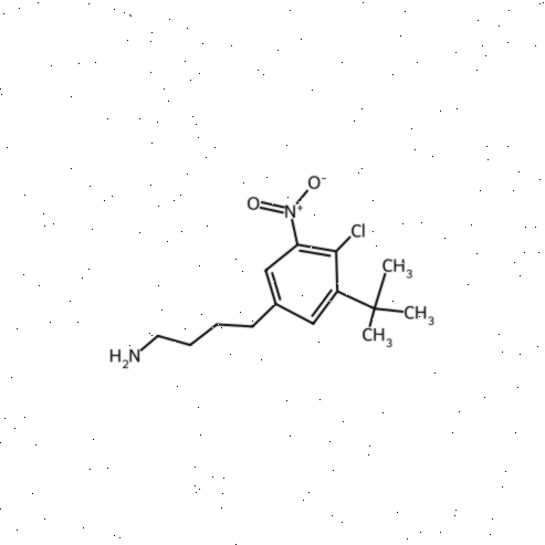 CC(C)(C)c1cc(CCCCN)cc([N+](=O)[O-])c1Cl